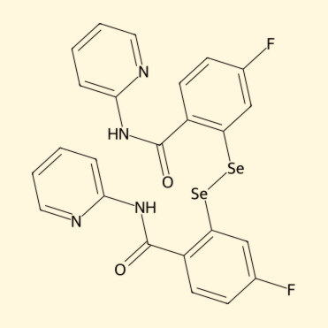 O=C(Nc1ccccn1)c1ccc(F)cc1[Se][Se]c1cc(F)ccc1C(=O)Nc1ccccn1